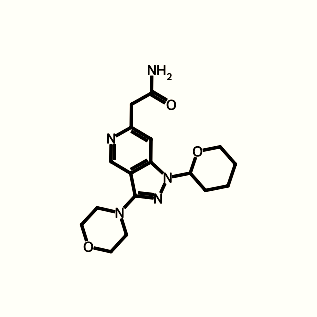 NC(=O)Cc1cc2c(cn1)c(N1CCOCC1)nn2C1CCCCO1